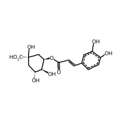 O=C(C=Cc1ccc(O)c(O)c1)O[C@@H]1C[C@@](O)(C(=O)O)C[C@@H](O)[C@@H]1O